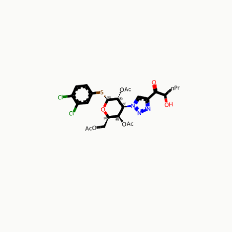 CCCC(O)C(=O)c1cn([C@@H]2[C@@H](OC(C)=O)[C@@H](Sc3ccc(Cl)c(Cl)c3)O[C@H](COC(C)=O)[C@@H]2OC(C)=O)nn1